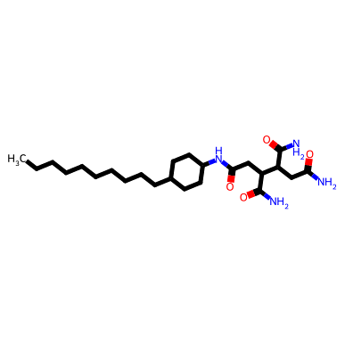 CCCCCCCCCCC1CCC(NC(=O)CC(C(N)=O)C(CC(N)=O)C(N)=O)CC1